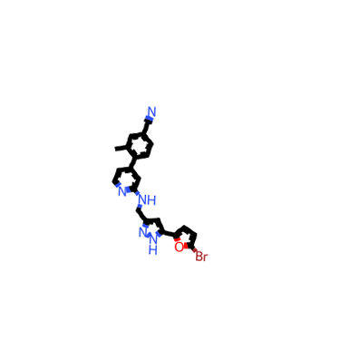 Cc1cc(C#N)ccc1-c1ccnc(NCc2cc(-c3ccc(Br)o3)[nH]n2)c1